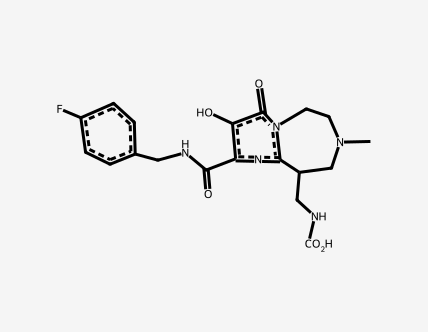 CN1CCn2c(nc(C(=O)NCc3ccc(F)cc3)c(O)c2=O)C(CNC(=O)O)C1